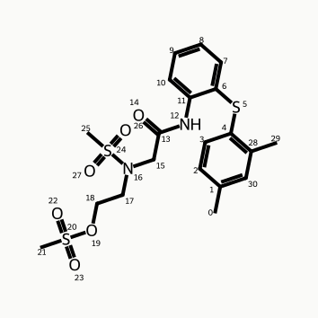 Cc1ccc(Sc2ccccc2NC(=O)CN(CCOS(C)(=O)=O)S(C)(=O)=O)c(C)c1